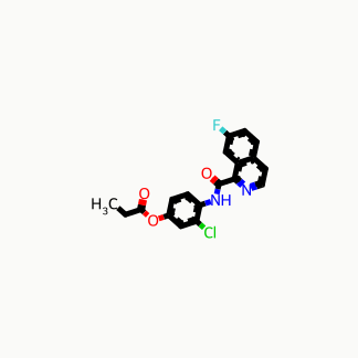 CCC(=O)Oc1ccc(NC(=O)c2nccc3ccc(F)cc23)c(Cl)c1